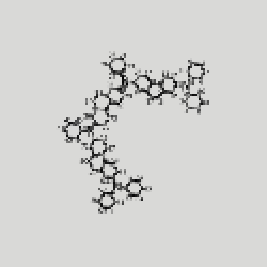 c1ccc(N(c2ccccc2)c2ccc3c(ccc4cc(N(c5ccccc5)c5ccc6c(ccc7cc(N(c8ccccc8)c8ccc9c(ccc%10cc(N(c%11ccccc%11)c%11ccccc%11)ccc%109)c8)ccc76)c5)ccc43)c2)cc1